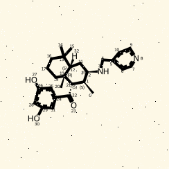 C[C@@H]1[C@H](NCc2ccncc2)C[C@H]2C(C)(C)CCC[C@@]2(C)[C@H]1C(=O)c1cc(O)cc(O)c1